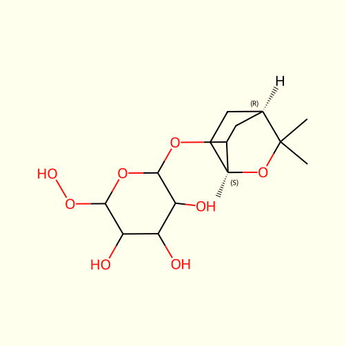 CC1(C)O[C@@]2(C)CC[C@@H]1CC2OC1OC(OO)C(O)C(O)C1O